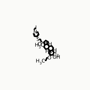 CCCO[C@H]1C[C@@]2(C)[C@@H](CC[C@@H]3[C@@H]2CC[C@]2(C)[C@@H](C(=O)CSC4=CCN(CI)C=C4)CC[C@@H]32)C[C@@H]1O